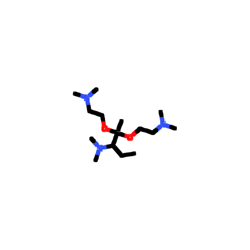 CCC(N(C)C)[Si](C)(OCCN(C)C)OCCN(C)C